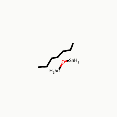 CCCCCCC.[SnH3][O][SnH3]